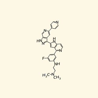 CN(C)CCNc1cc(F)cc(-c2nccc3[nH]c(-c4n[nH]c5cnc(-c6ccncc6)cc45)cc23)c1